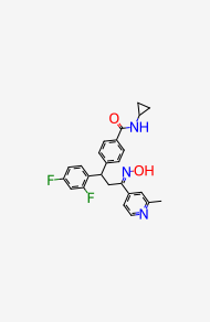 Cc1cc(C(CC(c2ccc(C(=O)NC3CC3)cc2)c2ccc(F)cc2F)=NO)ccn1